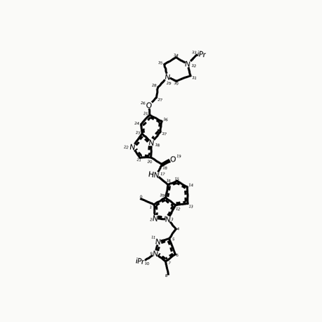 Cc1nn(Cc2cc(C)n(C(C)C)n2)c2cccc(NC(=O)c3cnc4cc(OCCN5CCN(C(C)C)CC5)ccn34)c12